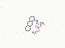 C=CC(=O)OC.Nc1cccc2cc3ccccc3cc12